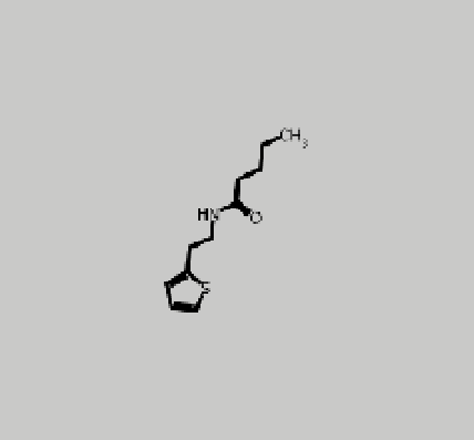 CCCCC(=O)NCCc1cccs1